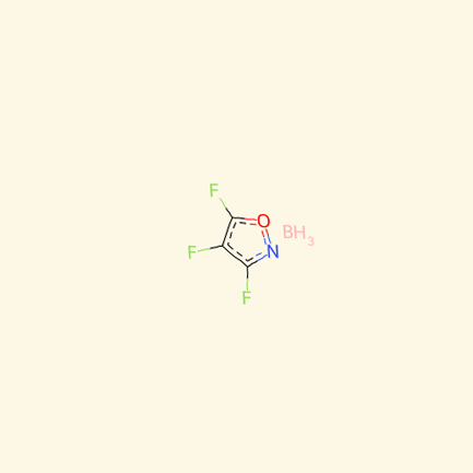 B.Fc1noc(F)c1F